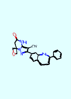 N#Cc1c(-c2ccc3ccc(-c4ccccc4)nc3c2)nn2c1NC(=O)CC21COC1